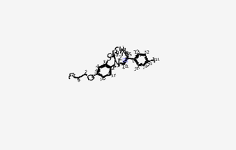 C=C1Sc2cc(OCCF)ccc2N1/C=C(\N)c1ccc(I)cc1